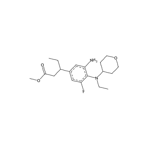 CCC(CC(=O)OC)c1cc(N)c(N(CC)C2CCOCC2)c(F)c1